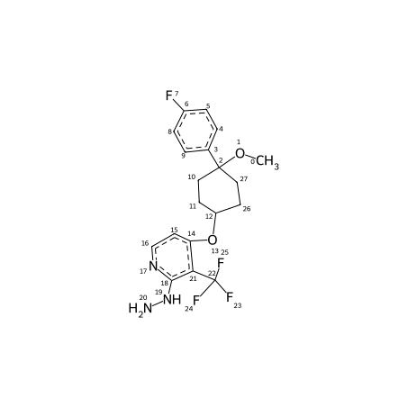 COC1(c2ccc(F)cc2)CCC(Oc2ccnc(NN)c2C(F)(F)F)CC1